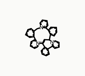 C1=C2c3ccccc3-c3cccc[n+]3C1c1ccccc1-c1cccc[n+]1Cc1ccccc1-c1cccc[n+]12